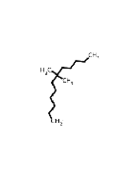 [CH2]CCCCCC(C)(C)CCCCC